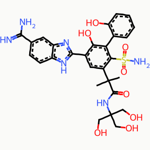 CC(C)(C(=O)NC(CO)(CO)CO)c1cc(-c2nc3cc(C(=N)N)ccc3[nH]2)c(O)c(-c2ccccc2O)c1S(N)(=O)=O